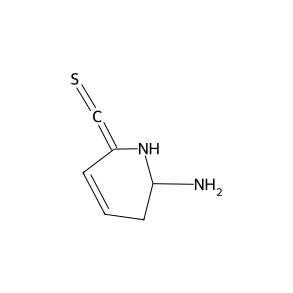 NC1CC=CC(=C=S)N1